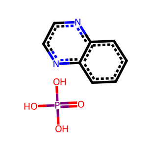 O=P(O)(O)O.c1ccc2nccnc2c1